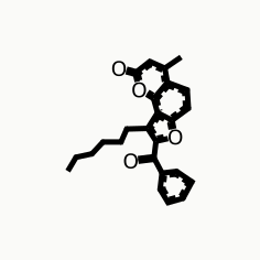 CCCCCCc1c(C(=O)c2ccccc2)oc2ccc3c(C)cc(=O)oc3c12